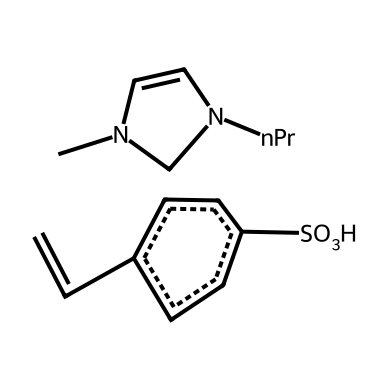 C=Cc1ccc(S(=O)(=O)O)cc1.CCCN1C=CN(C)C1